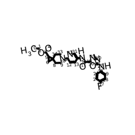 CCOC(=O)C1CC12CCN(c1ccc(NC(=O)c3nnc(Nc4ccc(F)cc4)o3)cn1)CC2